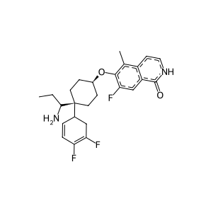 CCC(N)[C@]1(C2C=CC(F)=C(F)C2)CC[C@H](Oc2c(F)cc3c(=O)[nH]ccc3c2C)CC1